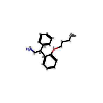 COCCCOc1ccccc1C(CN)c1ccccc1